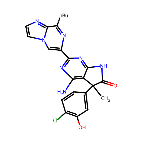 CCCCc1nc(-c2nc(N)c3c(n2)NC(=O)C3(C)c2ccc(Cl)c(O)c2)cn2ccnc12